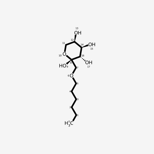 CCCCCCOC[C@]1(O)OC[C@@H](O)[C@@H](O)[C@@H]1O